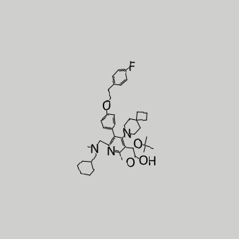 Cc1nc(CN(C)CC2CCCCC2)c(-c2ccc(OCCc3ccc(F)cc3)cc2)c(N2CCC3(CCC3)CC2)c1[C@H](OC(C)(C)C)C(=O)O